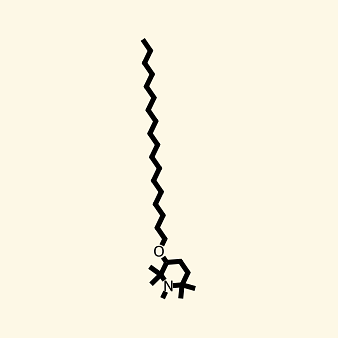 CCCCCCCCCCCCCCCCCCOC1CCC(C)(C)N(C)C1(C)C